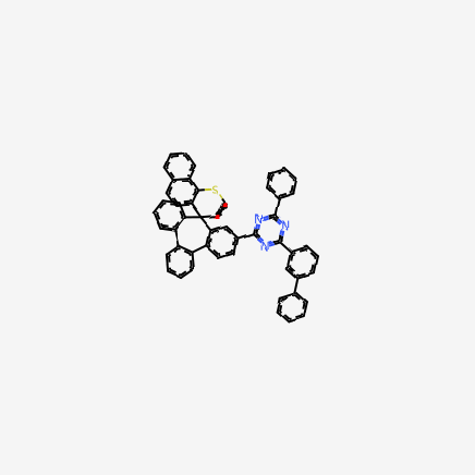 c1ccc(-c2cccc(-c3nc(-c4ccccc4)nc(-c4ccc5c(c4)C4(c6ccccc6Sc6c4ccc4ccccc64)c4ccccc4-c4ccccc4-5)n3)c2)cc1